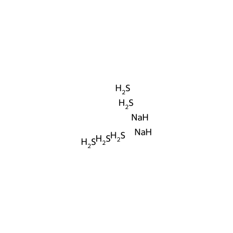 S.S.S.S.S.[NaH].[NaH]